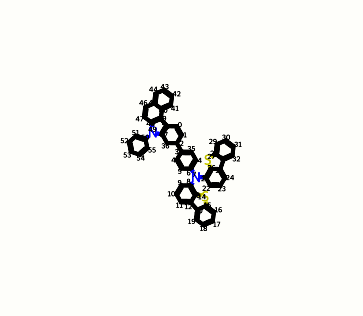 C1=CC(c2ccc(N(c3cccc4c3sc3ccccc34)c3cccc4c3sc3ccccc34)cc2)Cc2c1c1c3ccccc3ccc1n2-c1ccccc1